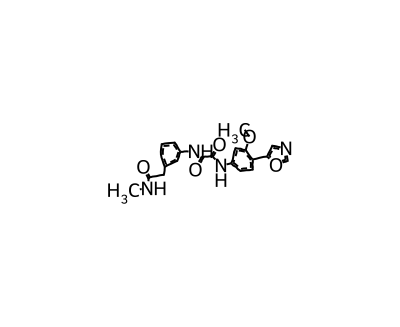 CNC(=O)Cc1cccc(NC(=O)C(=O)Nc2ccc(-c3cnco3)c(OC)c2)c1